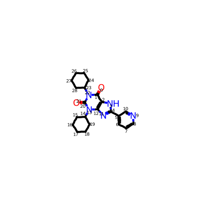 O=c1c2[nH]c(-c3cccnc3)nc2n(C2CCCCC2)c(=O)n1C1CCCCC1